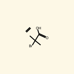 C=C.CC(C)(Br)C(=O)O